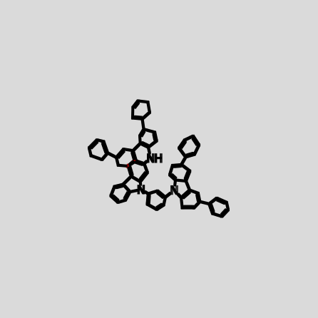 C1=CCCC(C2=CC(c3cc(C4=CC=CCC4)ccc3Nc3ccc4c5ccccc5n(-c5cccc(-n6c7ccc(-c8ccccc8)cc7c7cc(-c8ccccc8)ccc76)c5)c4c3)=CCC2)=C1